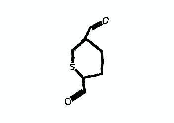 O=CC1CCC(C=O)SC1